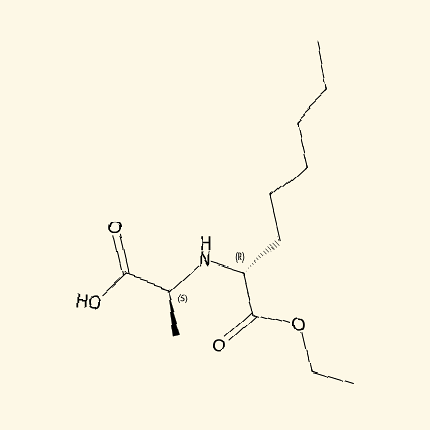 CCCCCC[C@@H](N[C@@H](C)C(=O)O)C(=O)OCC